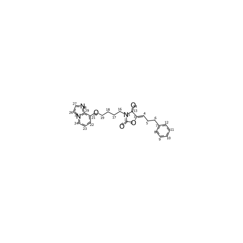 O=C1OC(=CCCc2ccccc2)C(=O)N1CCCCOc1cccn2ccnc12